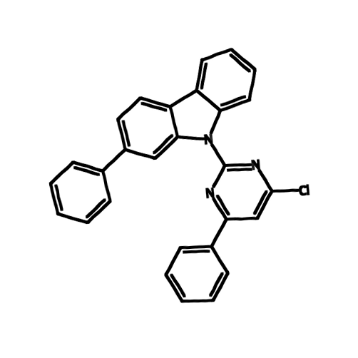 Clc1cc(-c2ccccc2)nc(-n2c3ccccc3c3ccc(-c4ccccc4)cc32)n1